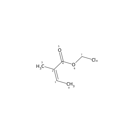 CC=C(C)C(=O)OCCl